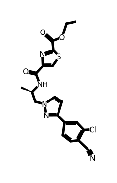 CCOC(=O)c1nc(C(=O)N[C@H](C)Cn2ccc(-c3ccc(C#N)c(Cl)c3)n2)cs1